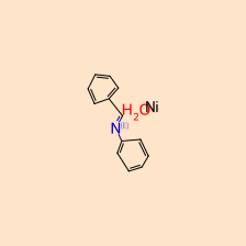 C(=N\c1ccccc1)/c1ccccc1.O.[Ni]